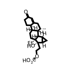 CC[C@]12CC[C@H]3[C@H]([C@@H]1[C@H]1C[C@H]1[C@@]2(O)CCOC(=O)O)[C@@H](C)CC1=CC(=O)CC[C@@H]13